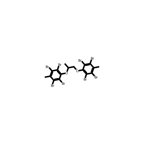 Cc1c(Br)c(Br)c(OCC(C)Oc2c(Br)c(Br)c(C)c(Br)c2Br)c(Br)c1Br